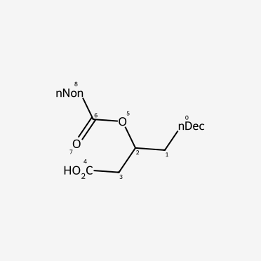 CCCCCCCCCCCC(CC(=O)O)OC(=O)CCCCCCCCC